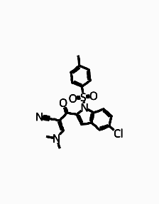 Cc1ccc(S(=O)(=O)n2c(C(=O)/C(C#N)=C/N(C)C)cc3cc(Cl)ccc32)cc1